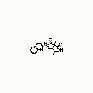 CC(C)C(CSc1ccc2ccccc2n1)C(C)([PH2]=O)C(=O)O